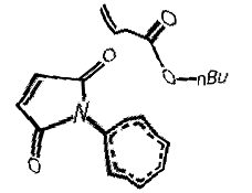 C=CC(=O)OCCCC.O=C1C=CC(=O)N1c1ccccc1